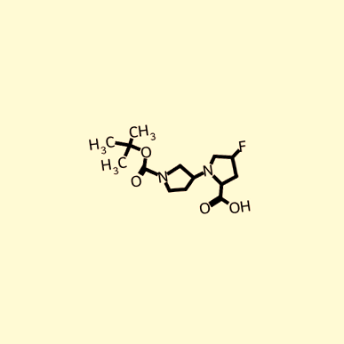 CC(C)(C)OC(=O)N1CCC(N2CC(F)CC2C(=O)O)C1